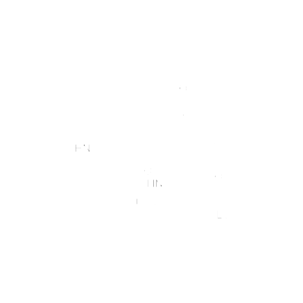 CCC(Oc1ccc2c(c1)-c1c(OC(CC)C3CCNC3)cccc1C2=O)C1CCNC1